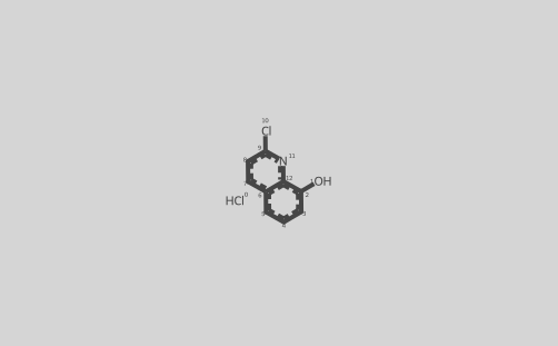 Cl.Oc1cccc2ccc(Cl)nc12